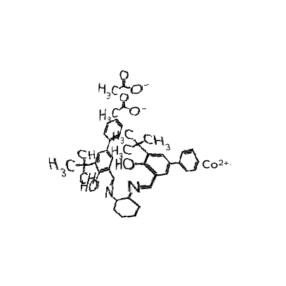 CC(=O)[O-].CC(=O)[O-].CC(C)(C)c1cc(-c2ccccc2)cc(C=NC2CCCCC2N=Cc2cc(-c3ccccc3)cc(C(C)(C)C)c2O)c1O.[Co+2]